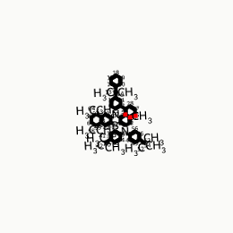 Cc1cc2c3c(c1)N(c1ccc(C(C)(C)c4ccccc4)cc1-c1ccccc1)c1cc4c(cc1B3c1cc(C(C)(C)C)ccc1N2c1ccc(C(C)(C)C)cc1)C(C)(C)CCC4(C)C